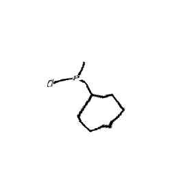 CP(Cl)C1CCCCC1